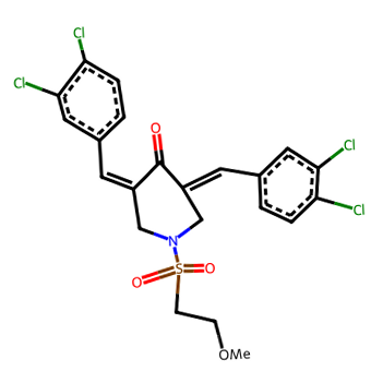 COCCS(=O)(=O)N1C/C(=C/c2ccc(Cl)c(Cl)c2)C(=O)/C(=C/c2ccc(Cl)c(Cl)c2)C1